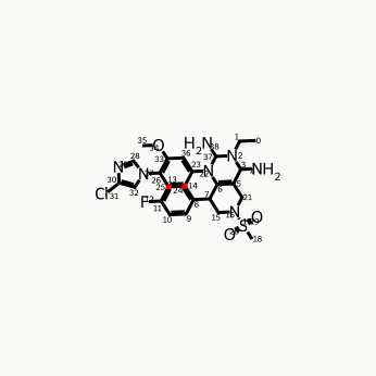 CCN1C(N)C2=C(C(c3ccc(F)cc3)CN(S(C)(=O)=O)C2)N(c2ccc(-n3cnc(Cl)c3)c(OC)c2)C1N